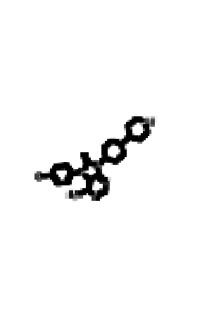 C=C1N(c2ccc(Cl)cc2)c2c(N)ncnc2N1C1CCC(C2CCNCC2)CC1